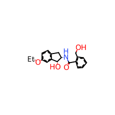 CCOc1ccc2c(c1)[C@@H](O)[C@@H](NC(=O)c1ccccc1CO)C2